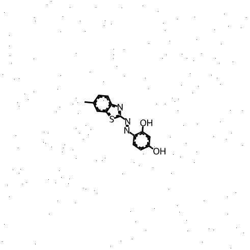 Cc1ccc2nc(N=Nc3ccc(O)cc3O)sc2c1